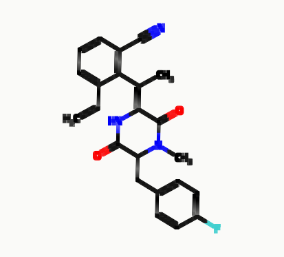 C=Cc1cccc(C#N)c1C(C)=C1NC(=O)C(Cc2ccc(F)cc2)N(C)C1=O